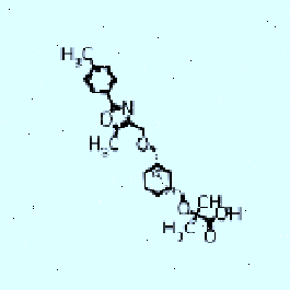 Cc1ccc(-c2nc(COC[C@H]3CCC[C@@H](COC(C)(C)C(=O)O)C3)c(C)o2)cc1